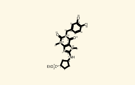 CCOC(=O)[C@H]1CCC(Nc2nc3c(c(=O)n(Cc4ccc(Cl)c(Cl)c4)c(=O)n3C)n2C)C1